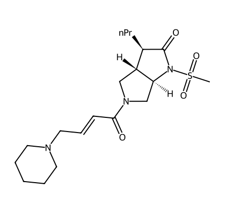 CCC[C@H]1C(=O)N(S(C)(=O)=O)[C@H]2CN(C(=O)C=CCN3CCCCC3)C[C@H]12